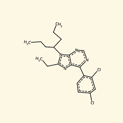 CCCC(CCC)n1c(CC)nc2c(-c3ccc(Cl)cc3Cl)ncnc21